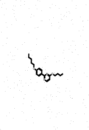 CCCCCOc1ccc(-c2nccc(OCCCC)n2)cc1